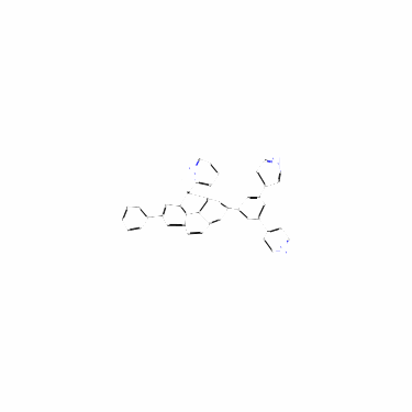 CC1(c2ccccn2)c2cc(-c3ccccc3)cc3ccc4cc(-c5cc(-c6ccncc6)cc(-c6ccncc6)c5)cc1c4c23